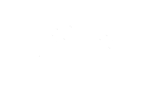 Cc1ncnn1-c1ccc(Nc2nc3n(n2)CC[C@](C)(O)C[C@H]3c2ccc(F)cc2)cc1F